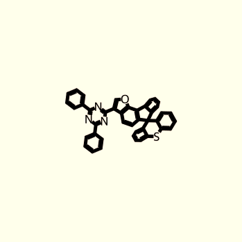 c1ccc(-c2nc(-c3ccccc3)nc(-c3coc4c5c(ccc34)C3(c4ccccc4Sc4ccccc43)c3ccccc3-5)n2)cc1